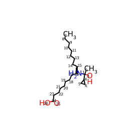 CC(N)(O)C1CC1.CCCCCCCC/C=C\CCCCCCCC(=O)O